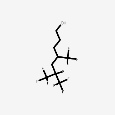 OCCCC(CC(F)(C(F)(F)F)C(F)(F)F)C(F)(F)F